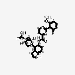 COc1cccc(F)c1-c1nccc(C(=O)Nc2ccc3[nH]ccc3c2N2C[C@@H]3C[C@H]2CN3C(=O)O)n1